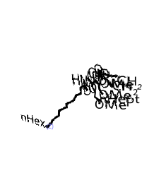 C=CCOP(=O)(OCC=C)O[C@H](C(COC)OC)C(OCCC(CCCCCCC)OC)[C@H](CO)NC(=O)CCCCCCCCC/C=C\CCCCCC